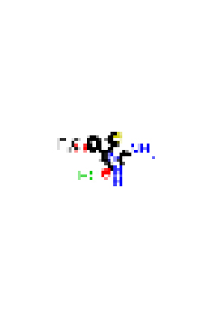 Cl.NCCC1CNC(=O)c2cc(-c3cccc(OC(F)(F)F)c3)c(-c3ccsc3)n21